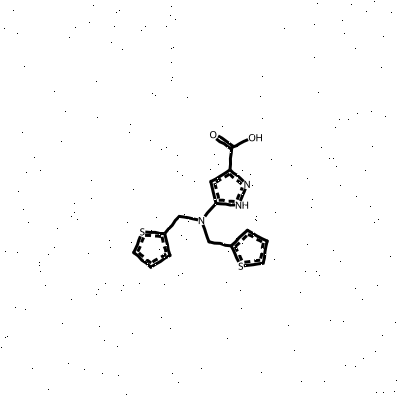 O=C(O)c1cc(N(Cc2cccs2)Cc2cccs2)[nH]n1